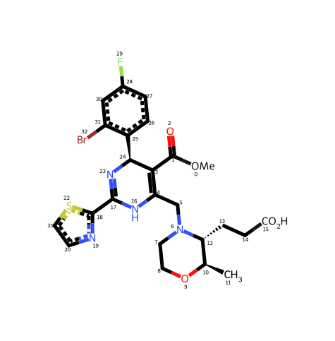 COC(=O)C1=C(CN2CCO[C@H](C)[C@H]2CCC(=O)O)NC(c2nccs2)=N[C@H]1c1ccc(F)cc1Br